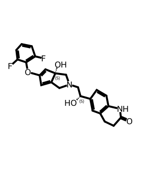 O=C1CCc2cc([C@H](O)CN3CC4=CC(Oc5c(F)cccc5F)=C[C@@]4(O)C3)ccc2N1